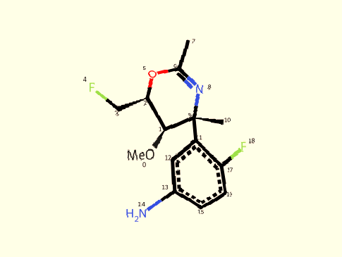 CO[C@H]1[C@@H](CF)OC(C)=N[C@]1(C)c1cc(N)ccc1F